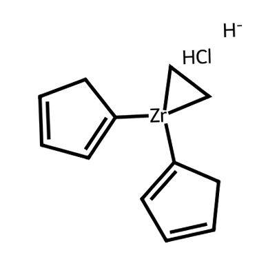 C1=CC[C]([Zr]2([C]3=CC=CC3)[CH2][CH2]2)=C1.Cl.[H-]